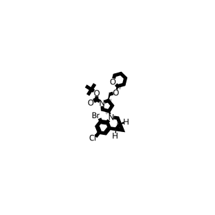 CC(C)(C)OC(=O)N1C[C@H](N2C[C@@H]3C[C@H]3c3cc(Cl)cc(Br)c32)C[C@@H]1CO[C@@H]1CCCCO1